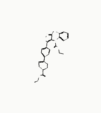 CCOC(=O)C1CC=C(c2ccc(-c3onc(C)c3N(C(=O)OCC)c3ccccc3Cl)cc2)CC1